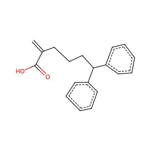 C=C(CCCC(c1ccccc1)c1ccccc1)C(=O)O